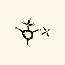 CC(C)c1cc(C(C)C)c(S(=O)(=O)[O-])c(C(C)C)c1.C[N+](C)(C)C